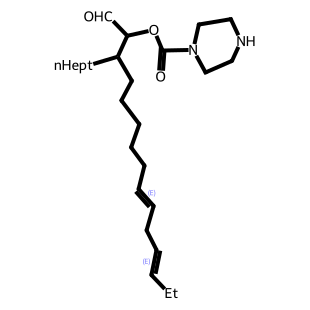 CC/C=C/C/C=C/CCCCCC(CCCCCCC)C(C=O)OC(=O)N1CCNCC1